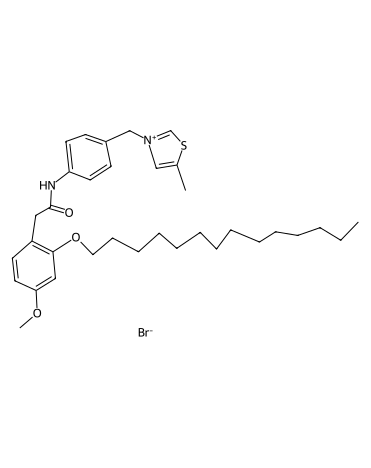 CCCCCCCCCCCCCCOc1cc(OC)ccc1CC(=O)Nc1ccc(C[n+]2csc(C)c2)cc1.[Br-]